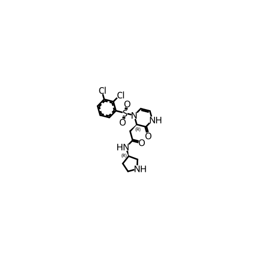 O=C(C[C@@H]1C(=O)NC=CN1S(=O)(=O)c1cccc(Cl)c1Cl)N[C@@H]1CCNC1